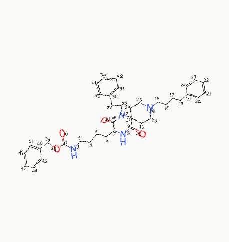 O=C(NCCCCC1NC(=O)C2(CCN(CCCCc3ccccc3)CC2)N(CCc2ccccc2)C1=O)OCc1ccccc1